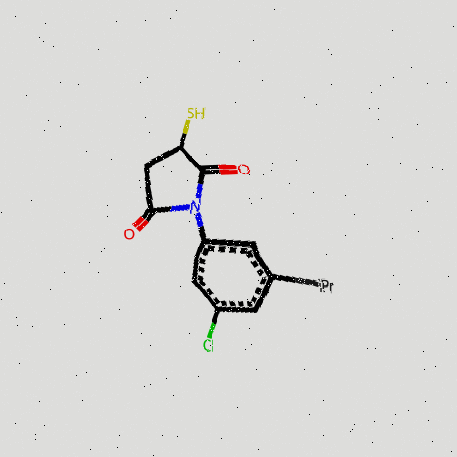 CC(C)c1cc(Cl)cc(N2C(=O)CC(S)C2=O)c1